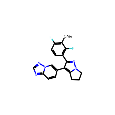 COc1c(F)ccc(-c2nn3c(c2-c2ccc4ncnn4c2)CCC3)c1F